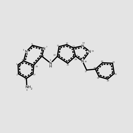 Nc1ccc2ncnc(Nc3ccc4nnn(Cc5ccccc5)c4c3)c2c1